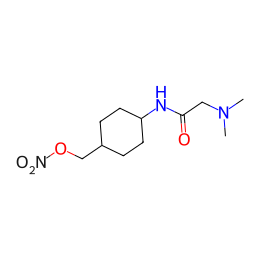 CN(C)CC(=O)NC1CCC(CO[N+](=O)[O-])CC1